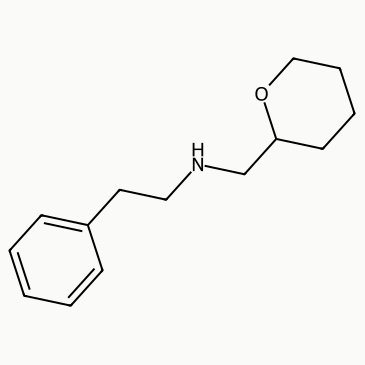 c1ccc(CCNCC2CCCCO2)cc1